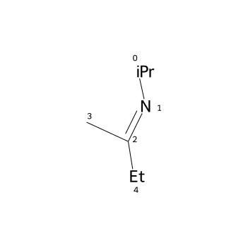 [CH2]C(C)N=C(C)CC